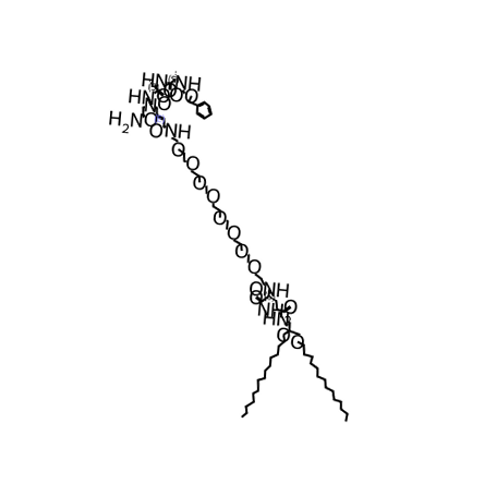 CCCCCCCCCCCCCCOCC(CNC(=O)CC[C@H](NC(=O)CCOCCOCCOCCOCCOCCOCCOCCOCCNC(=O)/C=C/C(=O)N(CC(N)=O)NC(=O)[C@H](C)NC(=O)[C@H](C)NC(=O)OCc1ccccc1)C(N)=O)OCCCCCCCCCCCCCC